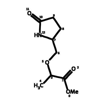 COC(=O)C(C)OCC1CCC(=O)N1